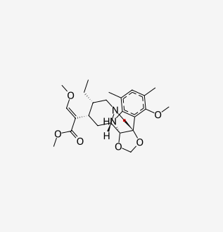 CC[C@@H]1CN2CC[C@@]34OCO[C@@]3(Nc3c(C)cc(C)c(OC)c34)[C@@H]2C[C@@H]1/C(=C\OC)C(=O)OC